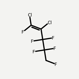 FCC(F)(F)C(F)(F)/C(Cl)=C(\F)Cl